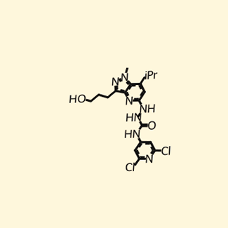 CC(C)c1cc(NNC(=O)Nc2cc(Cl)nc(Cl)c2)nc2c(CCCO)nn(C)c12